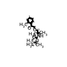 Cc1ccccc1C(=O)COCC(C)(C)NC(=O)OC(C)(C)C